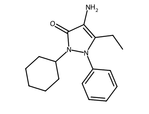 CCc1c(N)c(=O)n(C2CCCCC2)n1-c1ccccc1